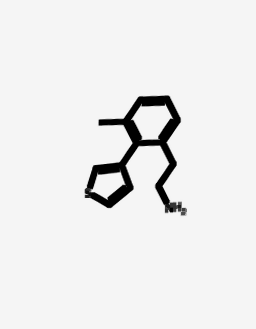 Cc1cccc(CCN)c1-c1ccsc1